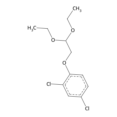 CCOC(COc1ccc(Cl)cc1Cl)OCC